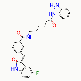 Nc1ccccc1NC(=O)CCCCCNC(=O)c1cccc(C=C2C(=O)Nc3ccc(F)cc32)c1